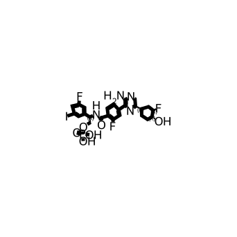 Nc1ncc([C@@H]2CC[C@@H](O)[C@H](F)C2)nc1-c1ccc(C(=O)N[C@@H](COP(=O)(O)O)c2cc(F)cc(I)c2)c(F)c1